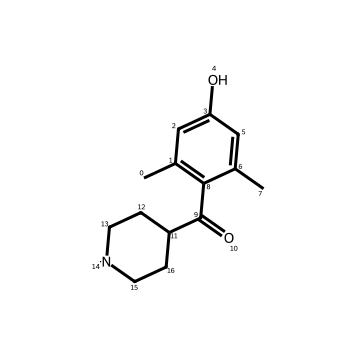 Cc1cc(O)cc(C)c1C(=O)C1CC[N]CC1